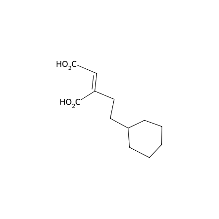 O=C(O)/C=C(/CCC1CCCCC1)C(=O)O